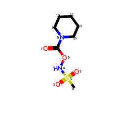 CS(=O)(=O)NOC(=O)N1CCCCC1